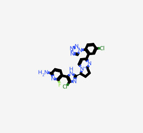 Nc1ccc(-c2[nH]c([C@@H]3CCc4nc(-c5cc(Cl)ccc5-n5cnnn5)cc[n+]43)nc2Cl)c(F)n1